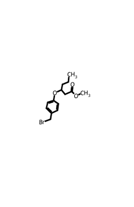 CCCC(CC(=O)OC)Oc1ccc(CBr)cc1